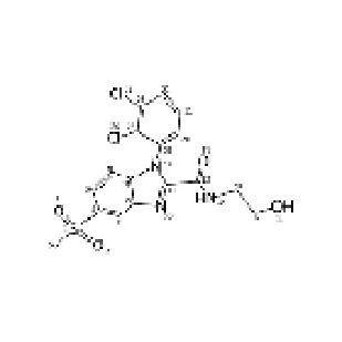 CS(=O)(=O)c1ccc2c(c1)nc(C(=O)NCCO)n2-c1cccc(Cl)c1Cl